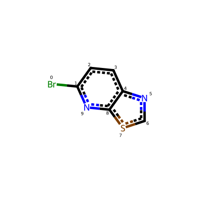 Brc1ccc2ncsc2n1